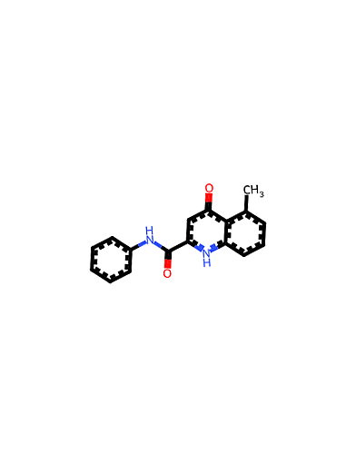 Cc1cccc2[nH]c(C(=O)Nc3ccccc3)cc(=O)c12